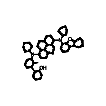 Cc1c(-c2ccccc2O)cccc1N(c1ccccc1)c1ccc2ccc3c(N(c4ccccc4)c4cccc5c4oc4ccccc45)ccc4ccc1c2c43